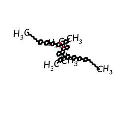 CCCCCCCCCc1ccc(-c2ccc(-c3ccc(-c4ccc(N(c5ccc(C)cc5C)c5cc6c7ccccc7c(N(c7ccc(-c8ccc(-c9ccc(-c%10ccc(CCCCCCCCC)cc%10)cc9)cc8)cc7)c7ccc(C)cc7C)cc6c6ccccc56)cc4)cc3)cc2)cc1